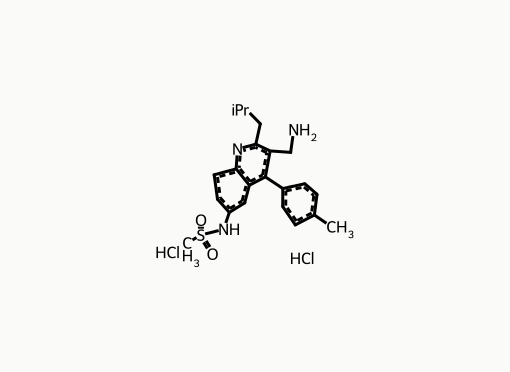 Cc1ccc(-c2c(CN)c(CC(C)C)nc3ccc(NS(C)(=O)=O)cc23)cc1.Cl.Cl